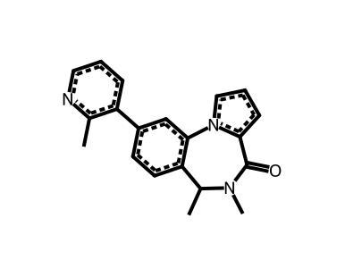 Cc1ncccc1-c1ccc2c(c1)-n1cccc1C(=O)N(C)C2C